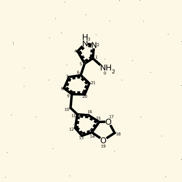 Nc1n[nH]cc1-c1ccc(Cc2ccc3c(c2)OCO3)cc1